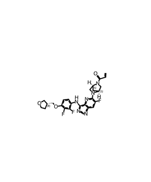 C=CC(=O)N1C[C@@H]2C[C@H]1CN2c1nc2c(Nc3ccc(OC[C@@H]4CCOC4)c(F)c3F)ncnc2cc1F